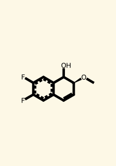 CO[C@H]1C=Cc2cc(F)c(F)cc2C1O